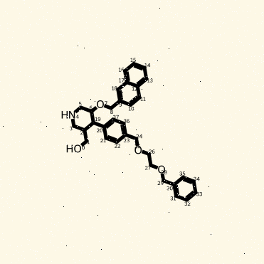 OCC1CNCC(OCc2ccc3ccccc3c2)C1c1ccc(COCCOCc2ccccc2)cc1